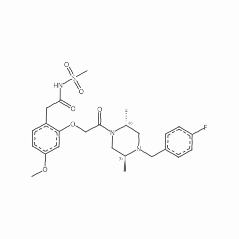 COc1ccc(CC(=O)NS(C)(=O)=O)c(OCC(=O)N2C[C@H](C)N(Cc3ccc(F)cc3)C[C@H]2C)c1